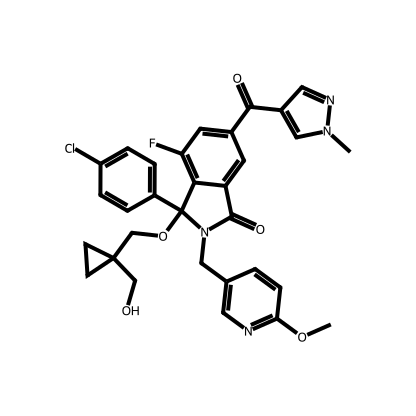 COc1ccc(CN2C(=O)c3cc(C(=O)c4cnn(C)c4)cc(F)c3C2(OCC2(CO)CC2)c2ccc(Cl)cc2)cn1